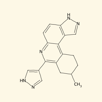 CC1CCc2c(c(-c3cn[nH]c3)nc3ccc4[nH]ncc4c23)C1